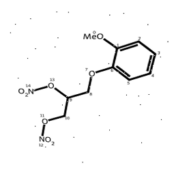 COc1ccccc1OCC(CO[N+](=O)[O-])O[N+](=O)[O-]